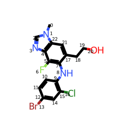 Cn1cnc2c(F)c(Nc3ccc(Br)cc3Cl)c(CCO)cc21